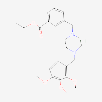 CCOC(=O)c1cccc(CN2CCN(Cc3ccc(OC)c(OC)c3OC)CC2)c1.Cl